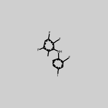 Cc1c(F)cc(F)c(F)c1Nc1ccc(I)cc1F